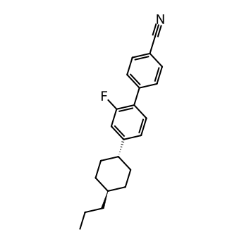 CCC[C@H]1CC[C@H](c2ccc(-c3ccc(C#N)cc3)c(F)c2)CC1